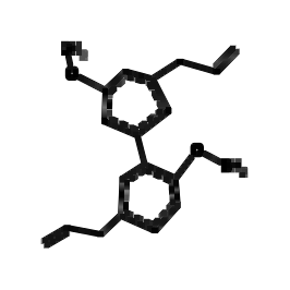 BOc1cc(CC=C)cc(-c2cc(CC=C)ccc2OB)c1